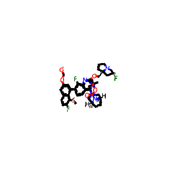 COCOc1cc(-c2ccc3c(N4C[C@H]5CC[C@@H](C4)N5C(=O)OC(C)(C)C)nc(OC[C@@]45CCCN4C[C@H](F)C5)nc3c2F)c2c(SC)c(F)ccc2c1